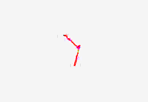 C=C(C)C(=O)OCCOCCNC(=O)OCCCCCCSCCCn1c(=O)n(CCCSCCCCCCOC(=O)NCCOCCOC(=O)C(=C)C)c(=O)n(CC(F)(F)F)c1=O